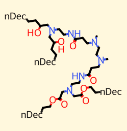 CCCCCCCCCCCCOC(=O)CN(CCNC(=O)CCN(C)CCN(C)CCC(=O)NCCN(CC(O)CCCCCCCCCCCC)CC(O)CCCCCCCCCCCC)CC(=O)OCCCCCCCCCCCC